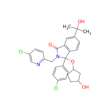 CC(C)(O)c1ccc2c(c1)C(=O)N(Cc1ccc(Cl)cn1)C2(OC1CCC(O)C1)c1ccc(Cl)cc1